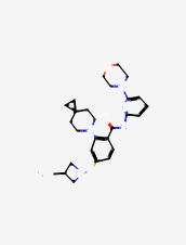 N#CC1CN(Sc2ccc(C(=O)Nc3cccc(N4CCOCC4)n3)c(N3CCC4(CC3)CC4)c2)C1